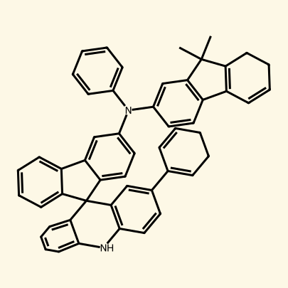 CC1(C)C2=C(C=CCC2)c2ccc(N(c3ccccc3)c3ccc4c(c3)-c3ccccc3C43c4ccccc4Nc4ccc(C5=CCCC=C5)cc43)cc21